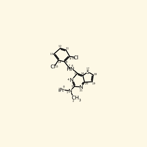 CC(C)N(C)c1nc(NCc2c(Cl)cccc2Cl)c2sccc2n1